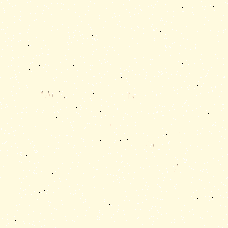 CNc1cccc(NC(=O)c2ccc(C(C)=O)o2)c1